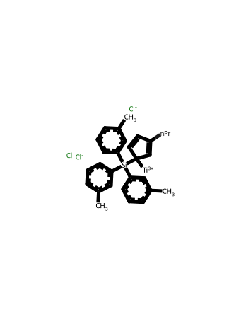 CCCC1=C[C]([Ti+3])([Si](c2cccc(C)c2)(c2cccc(C)c2)c2cccc(C)c2)C=C1.[Cl-].[Cl-].[Cl-]